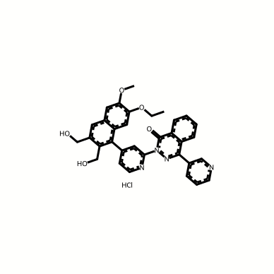 CCOc1cc2c(-c3ccnc(-n4nc(-c5cccnc5)c5ccccc5c4=O)c3)c(CO)c(CO)cc2cc1OC.Cl